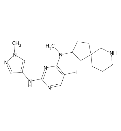 CN(c1nc(Nc2cnn(C)c2)ncc1I)C1CCC2(CCCNC2)C1